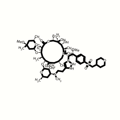 CC[C@H]1OC(=O)[C@H](C)[C@@H](O[C@H]2C[C@@](C)(OC)C[C@H](C)O2)[C@H](C)[C@@H](O[C@@H]2O[C@H](C)C[C@H](N(C)CCC3=CN([C@H](CF)[C@H](OC)c4ccc(S(=O)(=O)CC5CCOCC5)cc4)NN3)[C@H]2O)[C@](C)(O)C[C@@H](C)CN(C)[C@H](C)[C@@H](O)[C@]1(C)O